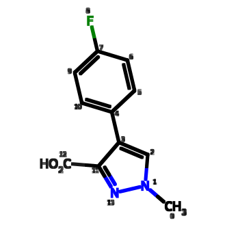 Cn1cc(-c2ccc(F)cc2)c(C(=O)O)n1